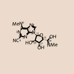 CNc1nc(C#N)nc2c1ncn2[C@@H]1O[C@H](C(O)NC)[C@@H](O)[C@H]1O